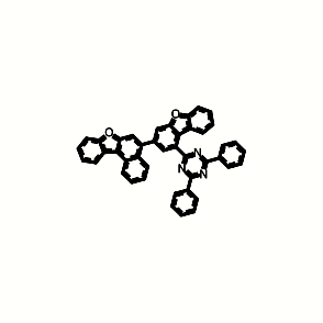 c1ccc(-c2nc(-c3ccccc3)nc(-c3cc(-c4cc5oc6ccccc6c5c5ccccc45)cc4oc5ccccc5c34)n2)cc1